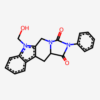 O=C1C2Cc3c(n(CO)c4ccccc34)CN2C(=O)N1c1ccccc1